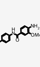 COc1cc(C(=O)Nc2ccc(C)cc2)ccc1N